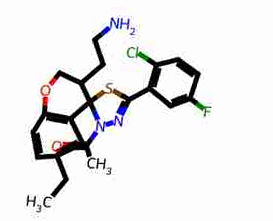 CCc1ccc2c(c1)C1(SC(c3cc(F)ccc3Cl)=NN1C(C)=O)C(CCN)CO2